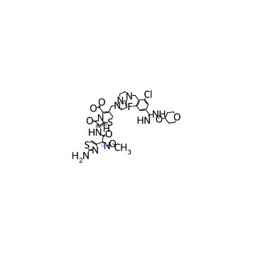 CO/N=C(\C(=O)N[C@@H]1C(=O)N2C(C(=O)[O-])=C(C[n+]3ccc4n3CCN4Cc3c(F)cc(C(=N)NOC4CCOCC4)cc3Cl)CS[C@H]12)c1csc(N)n1